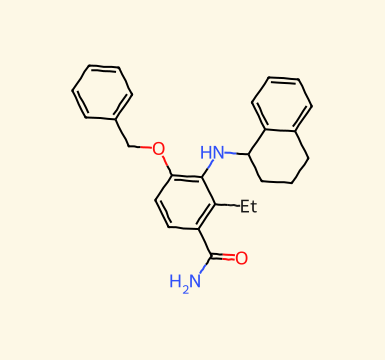 CCc1c(C(N)=O)ccc(OCc2ccccc2)c1NC1CCCc2ccccc21